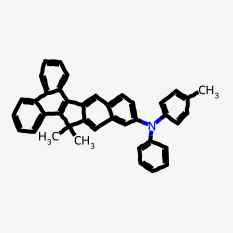 Cc1ccc(N(c2ccccc2)c2ccc3cc4c(cc3c2)C(C)(C)c2c-4c3ccccc3c3ccccc23)cc1